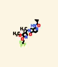 COc1cc(C(C)N2Cc3c(ccnc3NC(=O)C3CC3)C2=O)cnc1OCC(F)(F)F